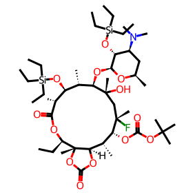 CC[C@H]1OC(=O)[C@H](C)[C@@H](O[Si](CC)(CC)CC)[C@H](C)[C@@H](O[C@@H]2O[C@H](C)C[C@H](N(C)C)[C@H]2O[Si](CC)(CC)CC)[C@](C)(O)C[C@](C)(F)[C@H](OC(=O)OC(C)(C)C)[C@H](C)[C@H]2OC(=O)O[C@@]21C